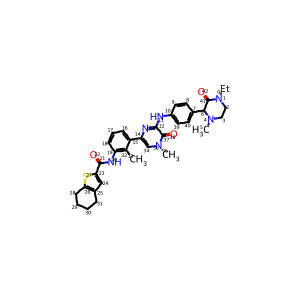 CCN1CCN(C)C(c2ccc(Nc3nc(-c4cccc(NC(=O)c5cc6c(s5)CCCC6)c4C)cn(C)c3=O)cc2)C1=O